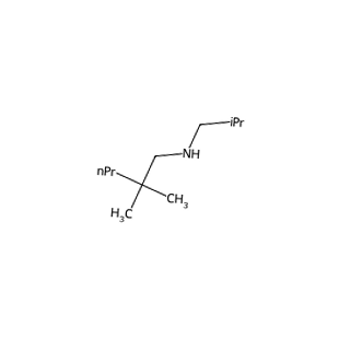 CCCC(C)(C)CNCC(C)C